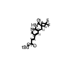 CC(C)(C)OC(=O)/C=C/c1cnc2c(c1)CC1(CC(F)(F)C1)C(=O)N2